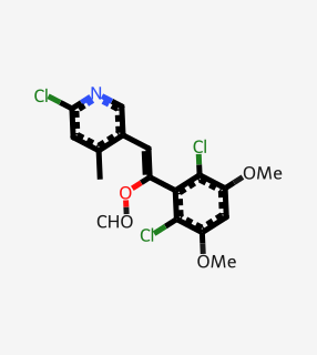 COc1cc(OC)c(Cl)c(/C(=C/c2cnc(Cl)cc2C)OC=O)c1Cl